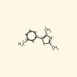 CC1=NC(C)=C(c2cccc(C)c2)C1